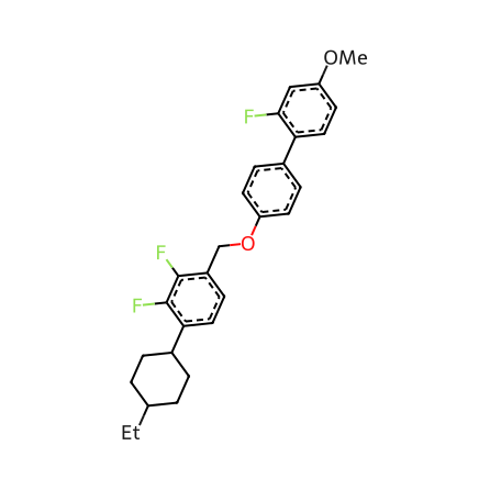 CCC1CCC(c2ccc(COc3ccc(-c4ccc(OC)cc4F)cc3)c(F)c2F)CC1